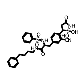 N#Cc1cc(CC(NS(=O)(=O)c2ccccc2)C(=O)NCCCCc2ccccc2)ccc1C1CC(=O)NS1(O)O